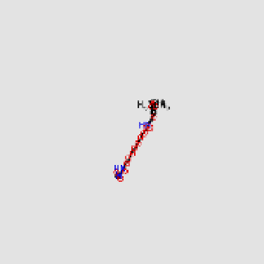 CC1(C)OB(c2ccc(OCCCCNC(=O)OCCOCCOCCOCCOCCOCCOCCOCCNC(=O)CCN3C(=O)C=CC3=O)cc2)OC1(C)C